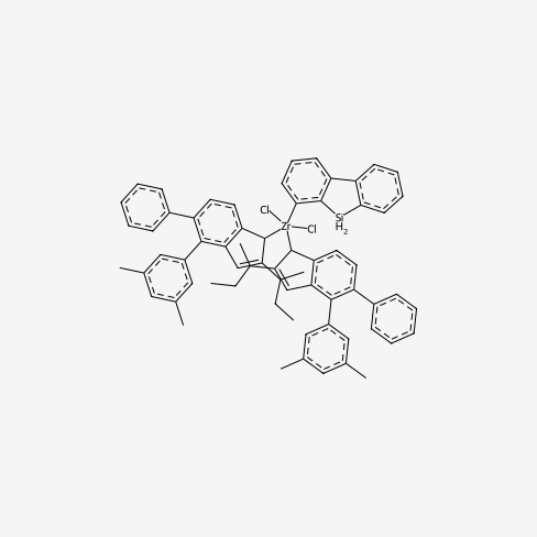 CCC(C)C1=Cc2c(ccc(-c3ccccc3)c2-c2cc(C)cc(C)c2)[CH]1[Zr]([Cl])([Cl])([c]1cccc2c1[SiH2]c1ccccc1-2)[CH]1C(C(C)CC)=Cc2c1ccc(-c1ccccc1)c2-c1cc(C)cc(C)c1